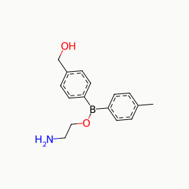 Cc1ccc(B(OCCN)c2ccc(CO)cc2)cc1